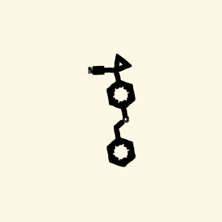 N#CC1(c2ccc(OCc3ccccc3)cc2)CC1